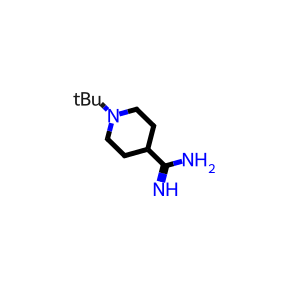 CC(C)(C)N1CCC(C(=N)N)CC1